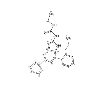 CCCc1cccnc1-c1cc(-c2cccnc2)cc2nc(NC(=O)NCC)[nH]c12